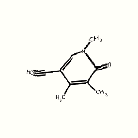 C#Cc1cn(C)c(=O)c(C)c1C